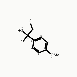 COc1ccc(C(C)(O)CF)cc1